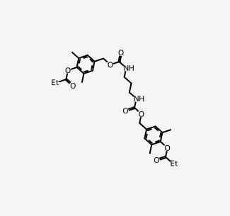 CCC(=O)Oc1c(C)cc(COC(=O)NCCCNC(=O)OCc2cc(C)c(OC(=O)CC)c(C)c2)cc1C